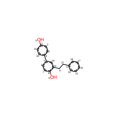 Oc1ccc(-c2ccc(O)c(CCc3ccccc3)c2)cc1